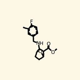 COC(=O)C1C2CCC(O2)C1NCc1ccc(F)c(C)c1